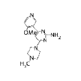 COc1ccncc1-c1cc(N2CCN(C)CC2)nc(N)n1